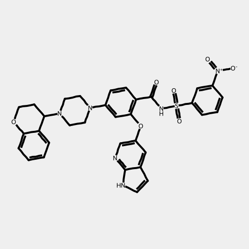 O=C(NS(=O)(=O)c1cccc([N+](=O)[O-])c1)c1ccc(N2CCN(C3CCOc4ccccc43)CC2)cc1Oc1cnc2[nH]ccc2c1